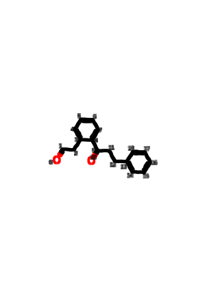 O=CCc1ccccc1C(=O)CCc1ccccc1